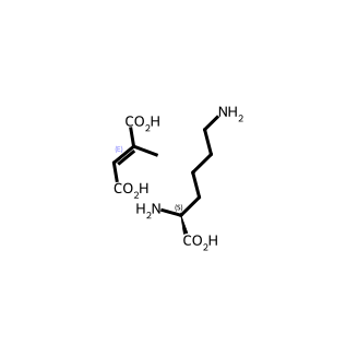 C/C(=C\C(=O)O)C(=O)O.NCCCC[C@H](N)C(=O)O